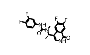 C[C@H](c1c[nH]c(=O)c2cc(F)c(F)cc12)N(C)C(=O)Nc1ccc(F)c(F)c1